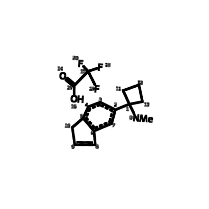 CNC1(c2ccc3c(c2)C=CC3)CCC1.O=C(O)C(F)(F)F